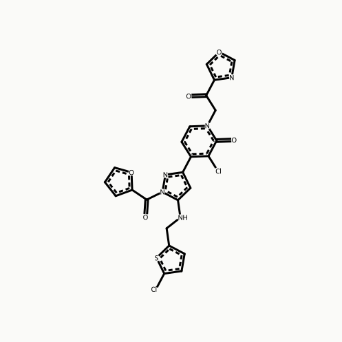 O=C(Cn1ccc(-c2cc(NCc3ccc(Cl)s3)n(C(=O)c3ccco3)n2)c(Cl)c1=O)c1cocn1